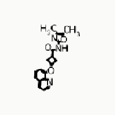 Cc1nc(NC(=O)C2CC(Oc3cccc4cccnc34)C2)oc1C